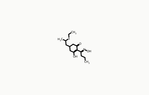 CCCC(=NO)C1=C(O)CC(CC(C)SCC)CC1=O